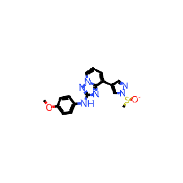 COc1ccc(Nc2nc3c(-c4cnn([S+](C)[O-])c4)cccn3n2)cc1